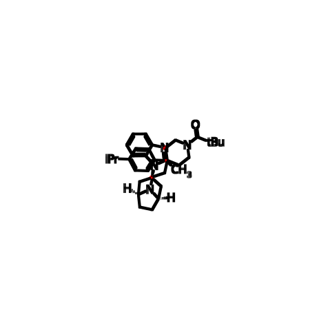 Cc1nc2ccccc2n1[C@H]1C[C@H]2CC[C@@H](C1)N2CCC1(c2ccc(C(C)C)cc2)CCN(C(=O)C(C)(C)C)CC1